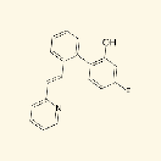 Oc1cc(F)ccc1-c1ccccc1C=Cc1ccccn1